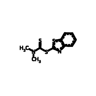 CN(C)C(=S)Sc1nc2ccccc2s1